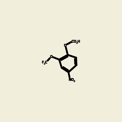 O=C(O)Oc1ccc([N+](=O)[O-])cc1OC(F)(F)F